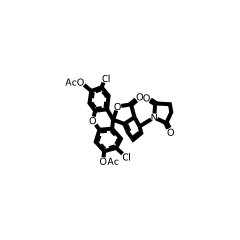 CC(=O)Oc1cc2c(cc1Cl)C1(OC(=O)C3C1=CC=CC3N1C(=O)CCC1=O)c1cc(Cl)c(OC(C)=O)cc1O2